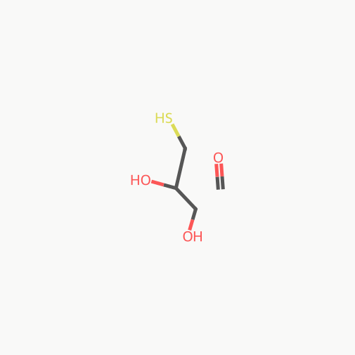 C=O.OCC(O)CS